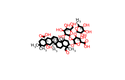 CC1O[C@@H](OC2C(O[C@@H]3OC(CO)[C@H](O)C(O)C3O)[C@H](O[C@H]3CCC4(C)C(CCC5(C)C4CC=C4C[C@]6(C(=O)O)CCC(C)(C)CC6(O)CC45C)C3(C)C=O)OC(C(=O)O)[C@H]2O)C(O)C(O)[C@H]1O